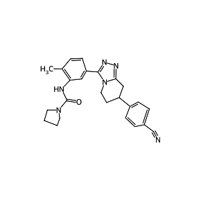 Cc1ccc(-c2nnc3n2CCC(c2ccc(C#N)cc2)C3)cc1NC(=O)N1CCCC1